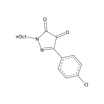 CCCCCCCCN1N=C(c2ccc(Cl)cc2)C(=O)C1=O